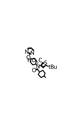 CC1CCC(C(=O)N(c2cc(C(C)(C)C)sc2C(=O)O)[C@H]2CC[C@H](Oc3ncccn3)CC2)CC1